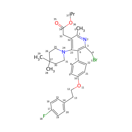 Cc1nc(CBr)c(-c2ccc(OCCc3ccc(F)cc3)cc2)c(N2CCC(C)(C)CC2)c1CC(=O)OC(C)C